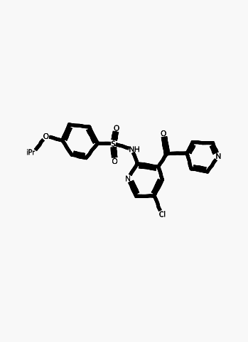 CC(C)Oc1ccc(S(=O)(=O)Nc2ncc(Cl)cc2C(=O)c2ccncc2)cc1